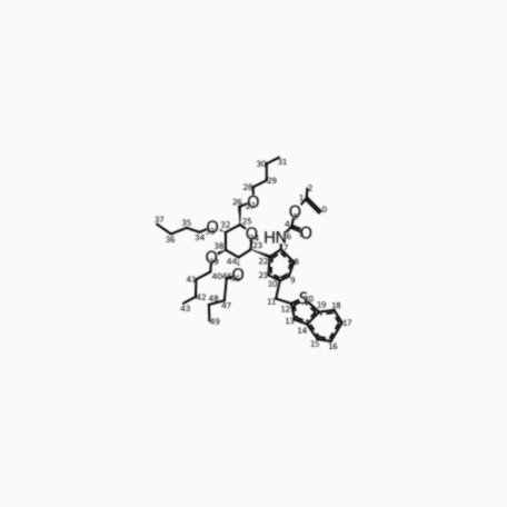 C=C(C)OC(=O)Nc1ccc(Cc2cc3ccccc3s2)cc1[C@@H]1O[C@H](COCCCC)[C@@H](OCCCC)[C@H](OCCCC)[C@H]1OCCCC